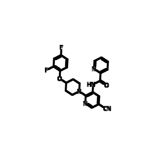 N#Cc1cnc(N2CCC(Oc3ccc(F)cc3F)CC2)c(NC(=O)c2ccccn2)c1